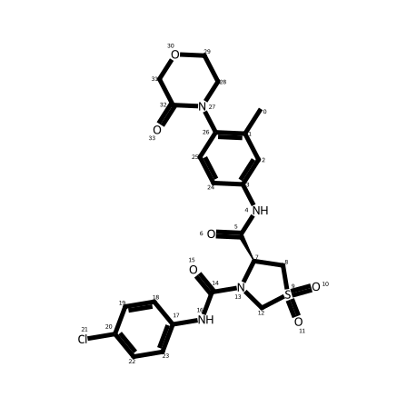 Cc1cc(NC(=O)[C@H]2CS(=O)(=O)CN2C(=O)Nc2ccc(Cl)cc2)ccc1N1CCOCC1=O